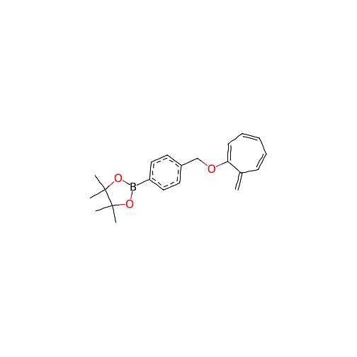 C=C1C=CC=CC=C1OCc1ccc(B2OC(C)(C)C(C)(C)O2)cc1